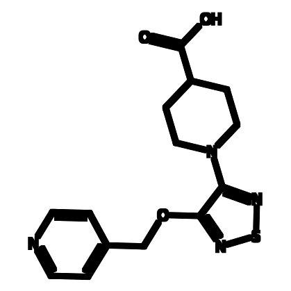 O=C(O)C1CCN(c2nsnc2OCc2ccncc2)CC1